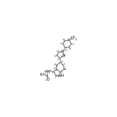 CCC(=O)Nc1c[nH]c2ccc(-c3ccn(-c4ccc(C(F)(F)F)cc4)n3)cc12